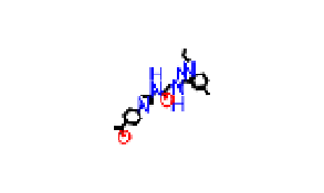 C=CCn1nc(NCC(=O)NC2CN(C3CCC(C(C)=O)CC3)C2)c2cc(C)ccc21